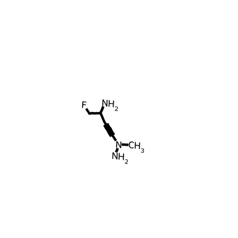 CN(N)C#CC(N)CF